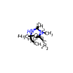 C=CC(C)(C)NC(=C)N(C)C(C)C